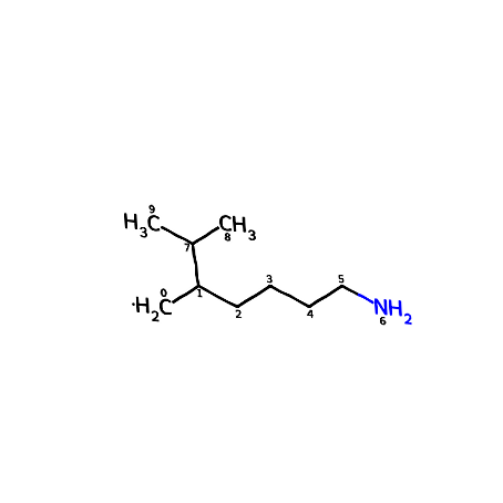 [CH2]C(CCCCN)C(C)C